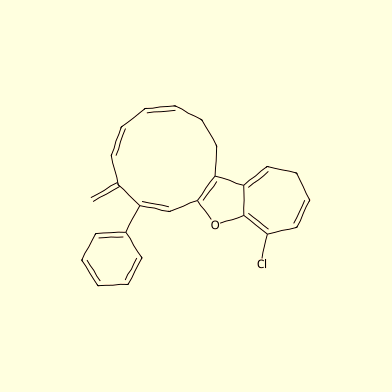 C=C1/C=C\C=C/CCc2c(oc3c2=CCC=CC=3Cl)/C=C\1c1ccccc1